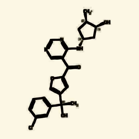 [CH2][C@@H]1C[C@@H](Nc2ncncc2C(=O)c2cc([C@](C)(O)c3cccc(Cl)c3)co2)C[C@@H]1O